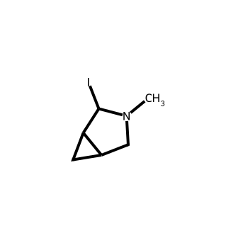 CN1CC2CC2C1I